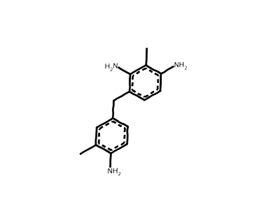 Cc1cc(Cc2ccc(N)c(C)c2N)ccc1N